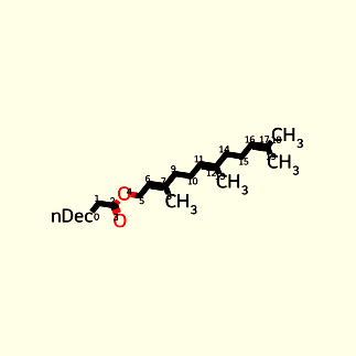 CCCCCCCCCCCC(=O)OC/C=C(\C)CC/C=C(\C)CCC=C(C)C